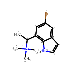 CC(c1cc(Br)cc2cc[nH]c12)[N+](C)(C)C